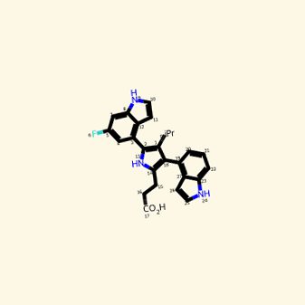 CC(C)c1c(-c2cc(F)cc3[nH]ccc23)[nH]c(CCC(=O)O)c1-c1cccc2[nH]ccc12